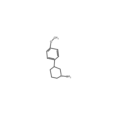 COc1ccc(C2CCCN(N)C2)cc1